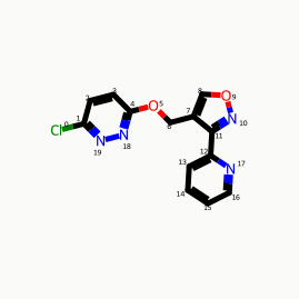 Clc1ccc(OCc2conc2-c2ccccn2)nn1